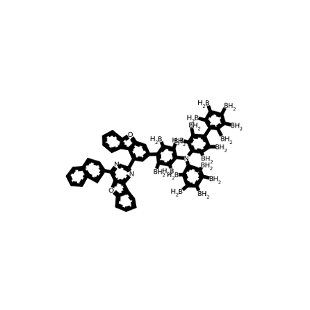 Bc1c(B)c(B)c(-c2c(B)c(B)c(N(c3c(B)c(B)c(B)c(B)c3B)c3c(B)c(B)c(-c4cc(-c5nc(-c6ccc7ccccc7c6)c6oc7ccccc7c6n5)c5c(c4)oc4ccccc45)c(B)c3B)c(B)c2B)c(B)c1B